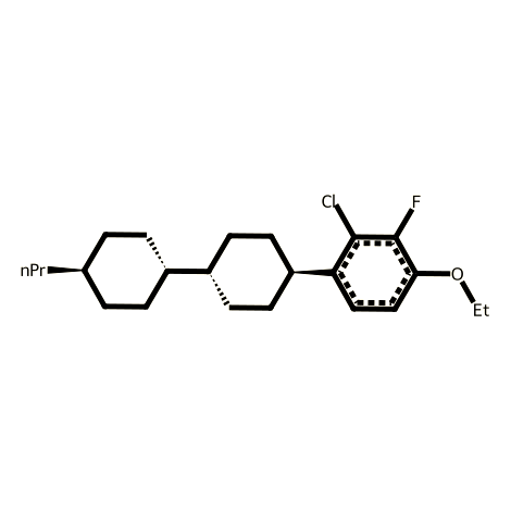 CCC[C@H]1CC[C@H]([C@H]2CC[C@H](c3ccc(OCC)c(F)c3Cl)CC2)CC1